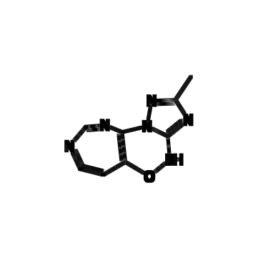 Cc1nc2n(n1)C1=C(C=C=NC=N1)OB2